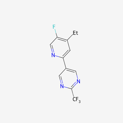 CCc1cc(-c2cnc(C(F)(F)F)nc2)ncc1F